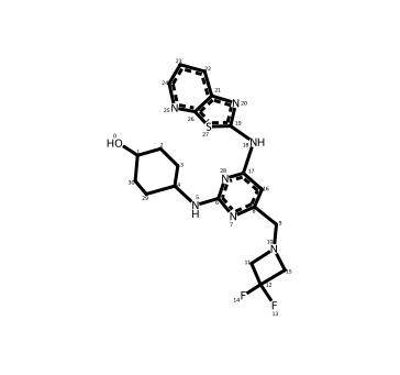 OC1CCC(Nc2nc(CN3CC(F)(F)C3)cc(Nc3nc4cccnc4s3)n2)CC1